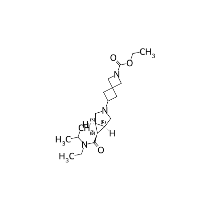 CCOC(=O)N1CC2(CC(N3C[C@@H]4[C@H](C3)[C@@H]4C(=O)N(CC)C(C)C)C2)C1